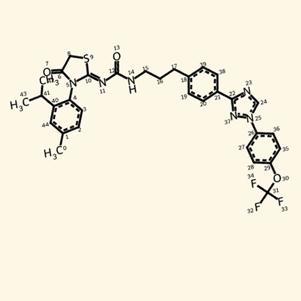 Cc1ccc(N2C(=O)CSC2=NC(=O)NCCCc2ccc(-c3ncn(-c4ccc(OC(F)(F)F)cc4)n3)cc2)c(C(C)C)c1